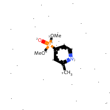 COP(=O)(OC)c1ccnc(C)c1